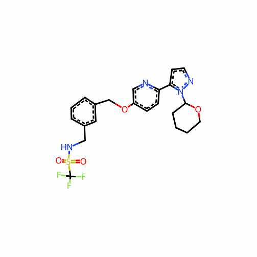 O=S(=O)(NCc1cccc(COc2ccc(-c3ccnn3C3CCCCO3)nc2)c1)C(F)(F)F